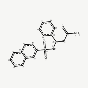 NC(=O)C[C@@H](NS(=O)(=O)c1ccc2ccccc2c1)c1ccccc1